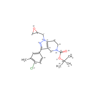 Cc1cc(-c2nn(CC3CO3)c3c2CN(C(=O)OC(C)(C)C)CC3)ccc1Cl